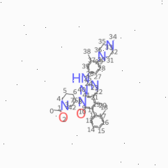 CC(=O)N1CCC[C@H](n2c(=O)c(-c3ccccc3C)c(C)c3cnc(Nc4ccc(N5CCN(C)CC5)c(C)c4)nc32)C1